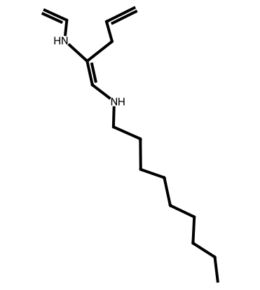 C=CC/C(=C\NCCCCCCCCC)NC=C